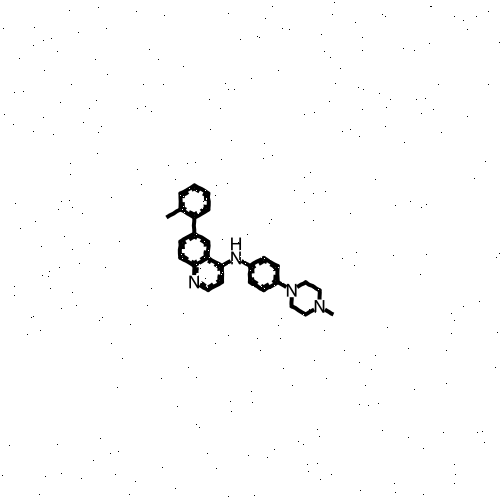 Cc1ccccc1-c1ccc2nccc(Nc3ccc(N4CCN(C)CC4)cc3)c2c1